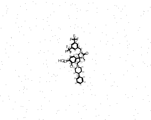 CN1C(=O)N(Cc2cc(C(F)(F)F)cc(C(F)(F)F)c2)CC1(CCN1CCC(c2ccccc2)CC1)c1ccc(Cl)c(Cl)c1.Cl